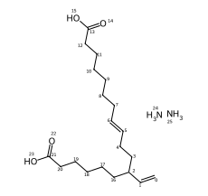 C=CC(CCC=CCCCCCCC(=O)O)CCCCCC(=O)O.N.N